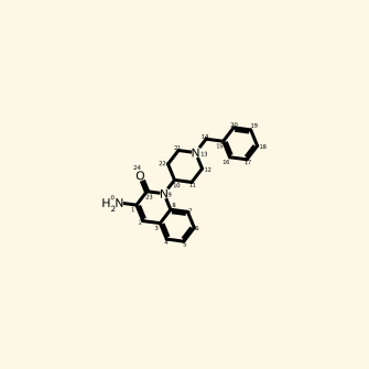 Nc1cc2ccccc2n(C2CCN(Cc3ccccc3)CC2)c1=O